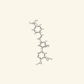 COc1ccc(-c2nc(N=Cc3ccc(N(C)C)cc3)c[nH]2)cc1OC